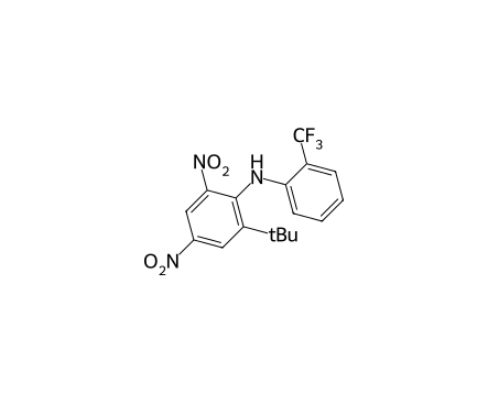 CC(C)(C)c1cc([N+](=O)[O-])cc([N+](=O)[O-])c1Nc1ccccc1C(F)(F)F